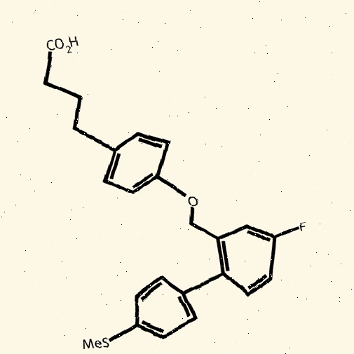 CSc1ccc(-c2ccc(F)cc2COc2ccc(CCCC(=O)O)cc2)cc1